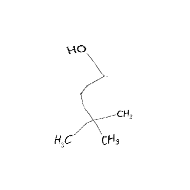 CC(C)(C)C[CH]O